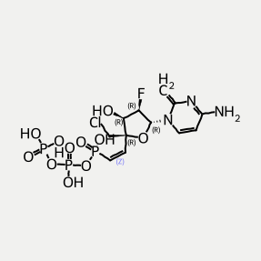 C=C1N=C(N)C=CN1[C@@H]1O[C@@](/C=C\P(=O)(O)OP(=O)(O)OP(=O)(O)O)(CCl)[C@@H](O)[C@H]1F